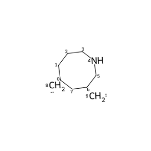 C1CCCNCCC1.[CH2].[CH2]